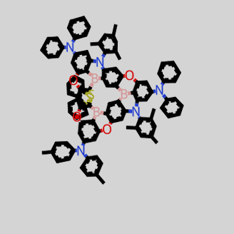 Cc1ccc(N(c2ccc(C)cc2)c2cc3c4c(c2)Oc2c(sc5ccccc25)B4c2cc4c(cc2O3)N(c2c(C)cc(C)cc2C)c2cc(N(c3ccccc3)c3ccccc3)cc3c2B4c2cc4c(cc2O3)N(c2c(C)cc(C)cc2C)c2cc(N(c3ccccc3)c3ccccc3)cc3c2B4c2sc4ccccc4c2O3)cc1